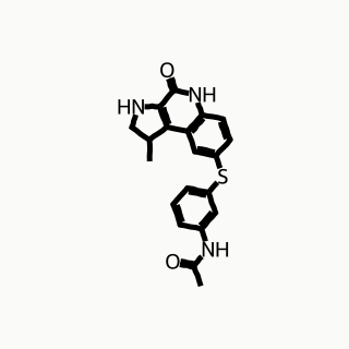 CC(=O)Nc1cccc(Sc2ccc3[nH]c(=O)c4c(c3c2)C(C)CN4)c1